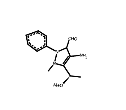 CO[C@H](C)C1=C(N)C(C=O)N(c2ccccc2)N1C